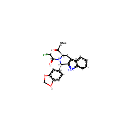 CNC(=O)[C@H]1Cc2c([nH]c3ccccc23)[C@H](c2ccc3c(c2)OCO3)N1C(=O)CCl